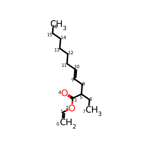 C=COC(=O)C(CC)C/C=C/CCCCCC